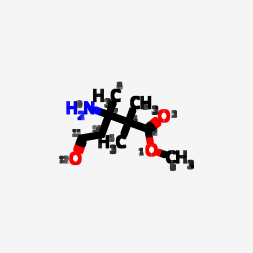 COC(=O)C(C)(C)C(C)(N)CC=O